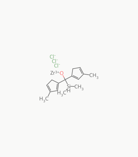 CC1=CCC(C([O][Zr+3])(C2=CC(C)=CC2)[SiH](C)C)=C1.[Cl-].[Cl-].[Cl-]